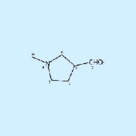 CN1CCC([C]=O)C1